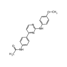 COc1ccc(Nc2nccc(-c3ccc(NC(C)=O)cc3)n2)cc1